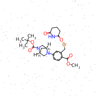 COC(=O)c1ccc(N2C[C@H]3C[C@@H]2CN3C(=O)OC(C)(C)C)cc1CBr.O=C1CCCC(=O)N1